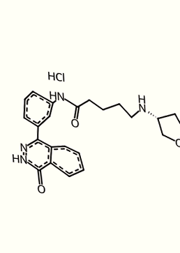 Cl.O=C(CCCCN[C@@H]1CCOC1)Nc1cccc(-c2n[nH]c(=O)c3ccccc23)c1